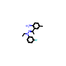 CCN(/N=C(\C)c1cc(C)ccc1N)c1cccc(F)c1